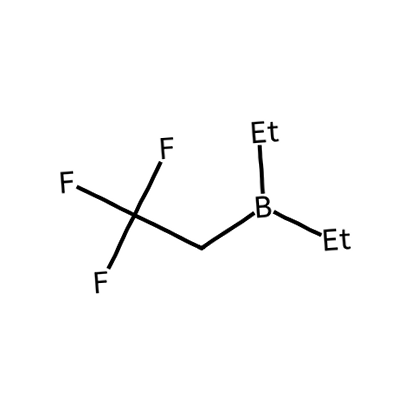 CCB(CC)CC(F)(F)F